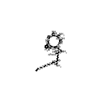 C#CCOCCOCCOCCOCCC(=O)N[C@@H](CCN)C(=O)CCCC[C@H](C(=O)N[C@@H](CCN)C(=O)N[C@H]1CCNC(=O)[C@H]([C@@H](C)O)NC(=O)[C@H](CCN)NC(=O)[C@H](CCN)NC(=O)[C@H](CC(C)C)NC(=O)[C@@H](Cc2ccccc2)NC(=O)[C@H](CCN)NC1=O)[C@H](O)CCCCC